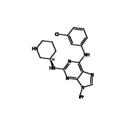 CC(C)n1cnc2c(Nc3cccc(Cl)c3)nc(N[C@@H]3CCCNC3)nc21